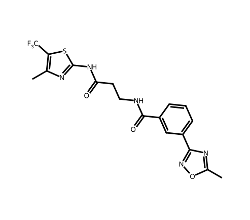 Cc1nc(-c2cccc(C(=O)NCCC(=O)Nc3nc(C)c(C(F)(F)F)s3)c2)no1